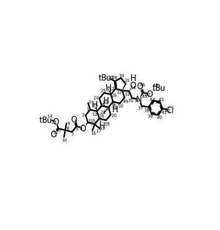 CC1C[C@H](OC(=O)CC(C)(C)C(=O)OC(C)(C)C)C(C)(C)[C@@H]2CC[C@]3(C)[C@H](CC[C@@H]4C5=C(C(C)(C)C)CC[C@@]5([C@H](O)CN(Cc5ccc(Cl)cc5)C(=O)OC(C)(C)C)CC[C@H]43)[C@@H]12